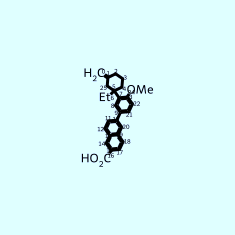 C=C1CCCC(CC)(c2cc(-c3ccc4cc(C(=O)O)ccc4c3)ccc2OC)C1